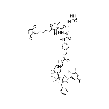 CC(C)[C@H](NC(=O)CCCCCN1C(=O)C=CC1=O)C(=O)N[C@@H](CCCNC(N)=O)C(=O)Nc1ccc(COC(=O)NCCCN(C(=O)[C@H](C)O)[C@@H](c2nc(-c3cc(F)cc(F)c3F)nn2Cc2ccccc2)C(C)(C)C)cc1